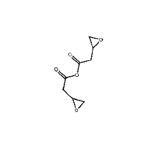 O=C(CC1CO1)OC(=O)CC1CO1